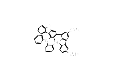 CSc1ccc2c(c1)c1cc(SC)cc3c1n2B1c2ccccc2N(c2ccccc2)c2c1c-3cc1oc3ccccc3c21